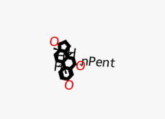 CCCCCO[C@@H]1C[C@@H]2[C@H](CC[C@]3(C)C(=O)CC[C@@H]23)[C@@]2(C)C=CC(=O)C=C12